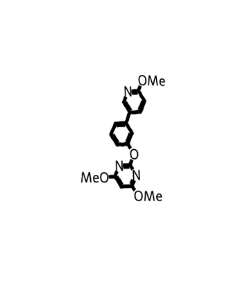 COc1ccc(-c2cccc(Oc3nc(OC)cc(OC)n3)c2)cn1